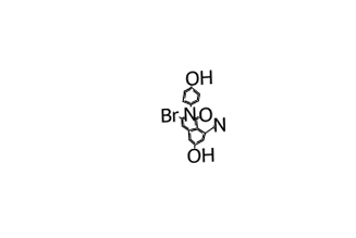 N#Cc1cc(O)cc2cc(Br)n(-c3ccc(O)cc3)c(=O)c12